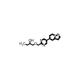 CCC(O)COCc1ncc(-c2ccn3nccc3c2)cn1